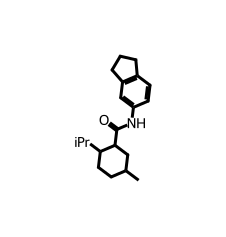 CC1CCC(C(C)C)C(C(=O)Nc2ccc3c(c2)CCC3)C1